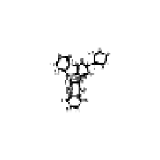 c1ccc(-c2cc3c4ccccc4n4c5nc6ccccc6nc5c(c2)c34)cc1